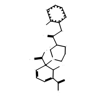 CC1C(C(=O)O)=CC=CC1(C(=O)O)N1CCCC(C(=O)Cc2ccccc2F)C1